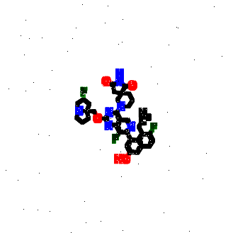 CCc1c(F)ccc2cc(O)cc(-c3ncc4c(N5CCCC6(CC(=O)NC6=O)C5)nc(OC[C@@]56CCCN5C[C@H](F)C6)nc4c3F)c12